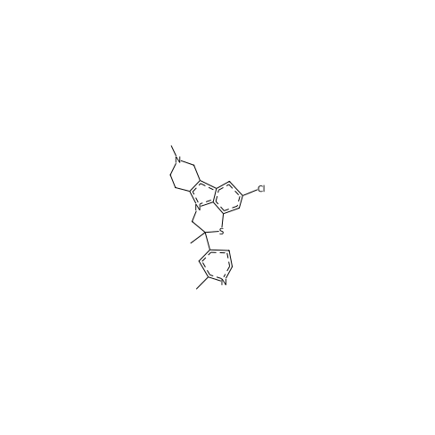 Cc1cc(C2(C)Cn3c4c(c5cc(Cl)cc(c53)S2)CN(C)CC4)ccn1